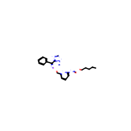 CCCCCOC(=O)Nc1cccc(CON=C(c2ccccc2)c2ncnn2C)n1